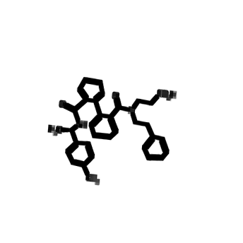 Cc1ccc([C@@H](C)NC(=O)c2ccccc2-c2ccccc2C(=O)N(CCC(=O)O)CCc2ccccc2)cc1